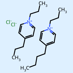 CCCCc1cc[n+](CCC)cc1.CCCc1cc[n+](CCC)cc1.[Cl-].[Cl-]